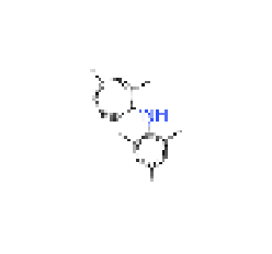 CC1=CC#CC(Nc2c(C)cc(C)cc2C)C(C)=C1